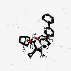 Nc1c(C2CC2)c(C2CC3CC[C@H](C2)N3C(=O)NCCO)nc2c(-c3ccc(-c4ccccc4)nc3)cnn12